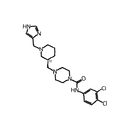 O=C(Nc1ccc(Cl)c(Cl)c1)N1CCN(C[C@@H]2CCCN(Cc3c[nH]cn3)C2)CC1